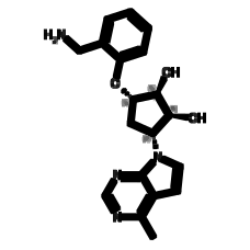 Cc1ncnc2c1ccn2[C@@H]1C[C@H](Oc2ccccc2CN)[C@@H](O)[C@H]1O